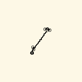 O=C(CCCCCCCCCCCCCCCCCN1C(=O)CCC1=O)OCc1ccccc1